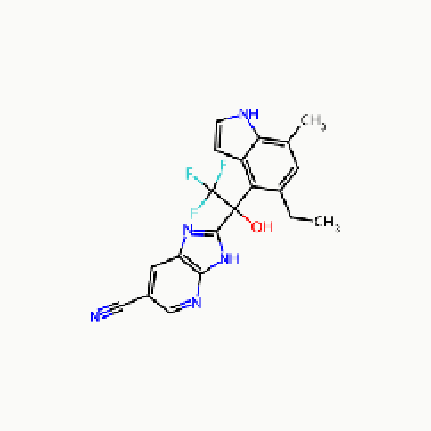 CCc1cc(C)c2[nH]ccc2c1C(O)(c1nc2cc(C#N)cnc2[nH]1)C(F)(F)F